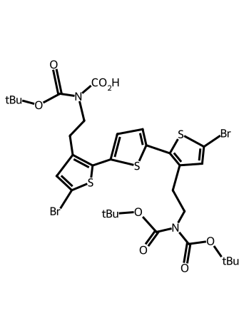 CC(C)(C)OC(=O)N(CCc1cc(Br)sc1-c1ccc(-c2sc(Br)cc2CCN(C(=O)OC(C)(C)C)C(=O)OC(C)(C)C)s1)C(=O)O